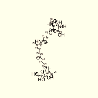 CC(=O)NC1C(O)[C@@H](O)C(CO)O[C@H]1OCCCCC(=O)C/C=C/CC(C)CNC(=O)CCCCO[C@@H]1OC(CO)[C@H](O)C(O)C1NC(C)=O